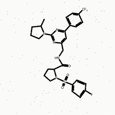 CC1CCCN1c1nc(CNC(=O)C2CCCN2S(=O)(=O)c2ccc(F)cc2)cc(-c2ccc(C(F)(F)F)cc2)n1